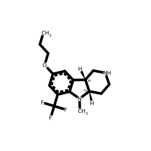 CCCOc1cc2c(c(C(F)(F)F)c1)N(C)[C@H]1CCNC[C@@H]21